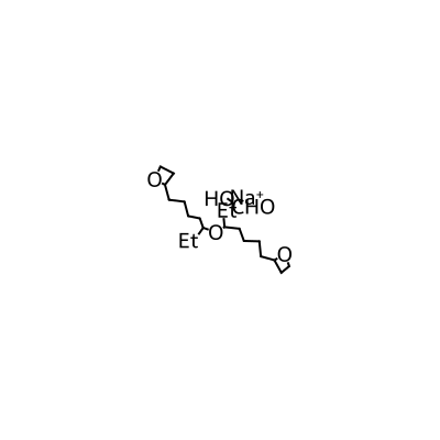 CCC(CCCCC1CCO1)OC(CC)CCCCC1CCO1.O=[C-]O.[Na+]